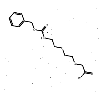 C=C(O)COCCOCCNC(=O)OCc1ccccc1